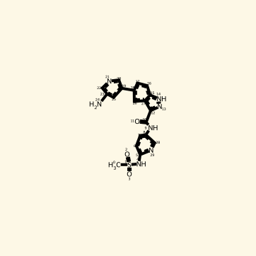 CS(=O)(=O)Nc1ccc(NC(=O)c2n[nH]c3ccc(-c4cncc(N)c4)cc23)cn1